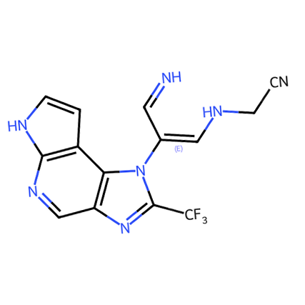 N#CCN/C=C(\C=N)n1c(C(F)(F)F)nc2cnc3[nH]ccc3c21